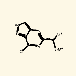 COC(C)c1nc(Cl)c2n[nH]cc2n1